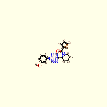 COc1cccc(N/N=N\C(=N)C2CCCCN2C(=O)c2cccs2)c1